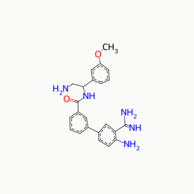 COc1cccc(C(CN)NC(=O)c2cccc(-c3ccc(N)c(C(=N)N)c3)c2)c1